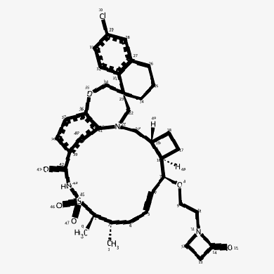 C[C@@H]1[C@@H](C)C/C=C/[C@H](OCCN2CCC2=O)[C@@H]2CC[C@H]2CN2C[C@@]3(CCCc4cc(Cl)ccc43)COc3ccc(cc32)C(=O)NS1(=O)=O